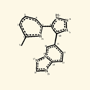 Cc1cccc(-c2[nH]nnc2-c2ccc3ncnn3c2)n1